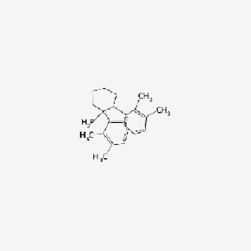 Cc1cccc(C2CCCCC2(P)c2cccc(C)c2C)c1C